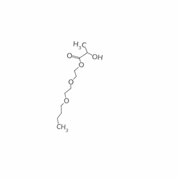 CCCCOCCOCCOC(=O)C(C)O